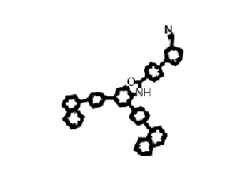 N#Cc1cccc(-c2ccc(C3Nc4c(cc(-c5ccc(-c6cccc7ccccc67)cc5)cc4-c4ccc(-c5cccc6ccccc56)cc4)O3)cc2)c1